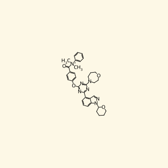 C[N+](C)(C(=O)c1ccc(Oc2nc(-c3cccc4c3cnn4C3CCCCO3)nc(N3CCCOCC3)n2)cc1)c1ccccc1